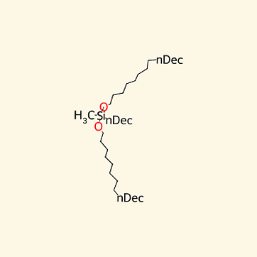 CCCCCCCCCCCCCCCCCCO[Si](C)(CCCCCCCCCC)OCCCCCCCCCCCCCCCCCC